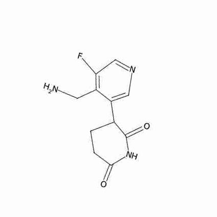 NCc1c(F)cncc1C1CCC(=O)NC1=O